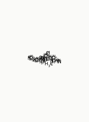 Cc1cc(-n2ccnc2)c2cccc(OCc3c(Cl)ccc(S(=O)(=O)N4CCC[C@H]4C(=O)N4CCN(Cc5cccnc5)CC4)c3Cl)c2n1